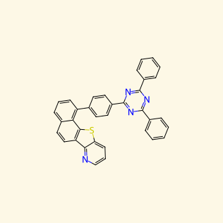 c1ccc(-c2nc(-c3ccccc3)nc(-c3ccc(-c4cccc5ccc6c7ncccc7sc6c45)cc3)n2)cc1